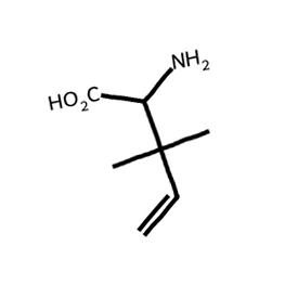 C=CC(C)(C)C(N)C(=O)O